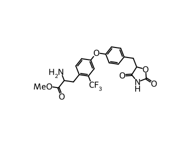 COC(=O)C(N)Cc1ccc(Oc2ccc(CC3OC(=O)NC3=O)cc2)cc1C(F)(F)F